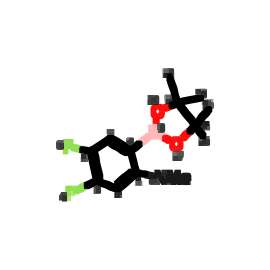 CNc1cc(F)c(F)cc1B1OC(C)(C)C(C)(C)O1